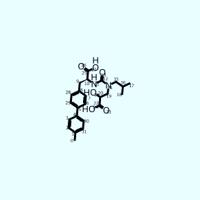 Cc1ccc(-c2ccc(C[C@H](NC(=O)N(CC(C)C)CC(O)C(=O)O)C(=O)O)cc2)cc1